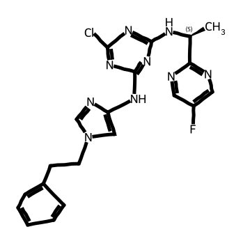 C[C@H](Nc1nc(Cl)nc(Nc2cn(CCc3ccccc3)cn2)n1)c1ncc(F)cn1